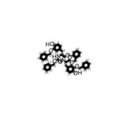 O=C(N[C@@H](Cc1ccc(O)c(OCc2ccccc2)c1)C(=O)N[C@@H](Cc1ccc(O)c(OCc2ccccc2)c1)C(=O)OCc1ccccc1)OCc1ccccc1